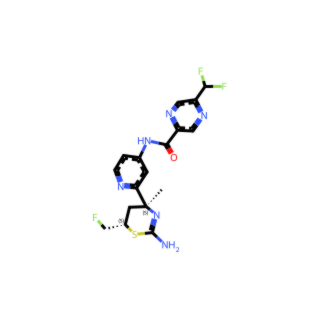 C[C@@]1(c2cc(NC(=O)c3cnc(C(F)F)cn3)ccn2)C[C@@H](CF)SC(N)=N1